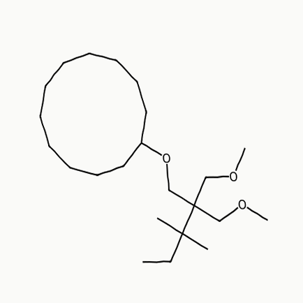 CCC(C)(C)C(COC)(COC)COC1CCCCCCCCCCC1